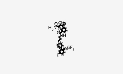 Cc1c(C(N)=O)oc2c(C(=O)NCCCN3CCN(c4cc(F)ccc4OCC(F)(F)F)CC3)cccc2c1=O